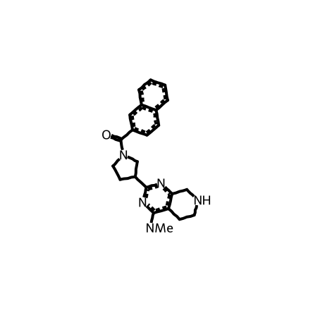 CNc1nc(C2CCN(C(=O)c3ccc4ccccc4c3)C2)nc2c1CCNC2